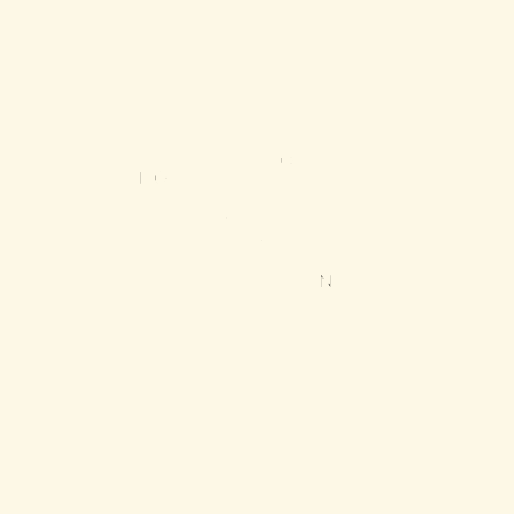 Cc1ccc(C2C(CO)C2OC(C)(C)C)nc1